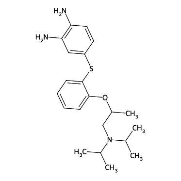 CC(CN(C(C)C)C(C)C)Oc1ccccc1Sc1ccc(N)c(N)c1